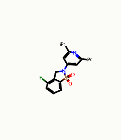 CC(C)c1cc(N2Cc3c(F)cccc3S2(=O)=O)cc(C(C)C)n1